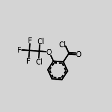 O=C(Cl)c1ccccc1OC(Cl)(Cl)C(F)(F)F